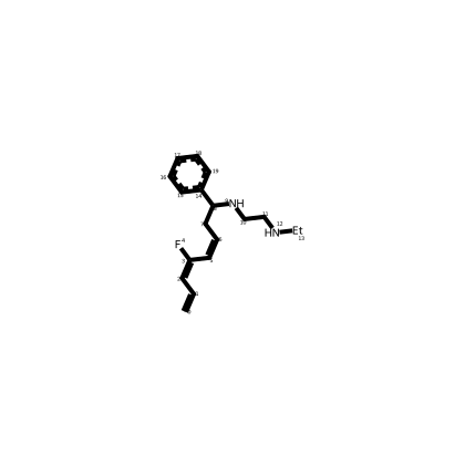 C=C/C=C(F)\C=C/CC(NCCNCC)c1ccccc1